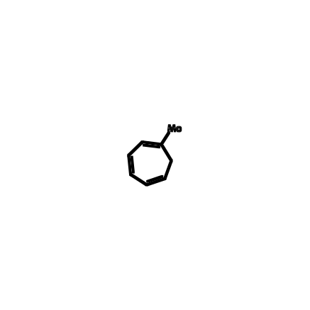 [Mo][C]1=CC=CC=CC1